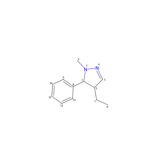 CCC1C=NN(C)C1c1ccccc1